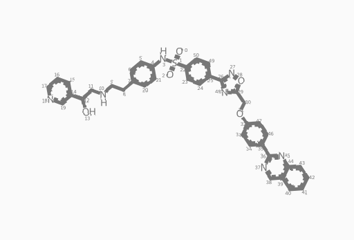 O=S(=O)(Nc1ccc(CCNCC(O)c2cccnc2)cc1)c1ccc(-c2noc(COc3ccc(-c4ncc5ccccc5n4)cc3)n2)cc1